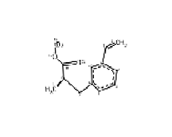 C=Cc1cccc(C[C@@H](C)C(=O)OC(C)(C)C)c1